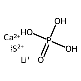 O=P(O)(O)O.[Ca+2].[Li+].[S+2]